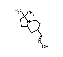 CC1(C)CCC2CC(C=NO)CCN21